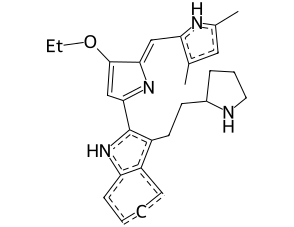 CCOC1=CC(c2[nH]c3ccccc3c2CCC2CCCN2)=N/C1=C\c1[nH]c(C)cc1C